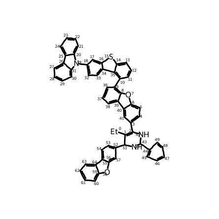 CCC1=C(c2ccc3oc4c(-c5cccc6sc7cc(-n8c9ccccc9c9ccccc98)ccc7c56)cccc4c3c2)NC(c2ccccc2)NC1c1ccc2c(c1)oc1ccccc12